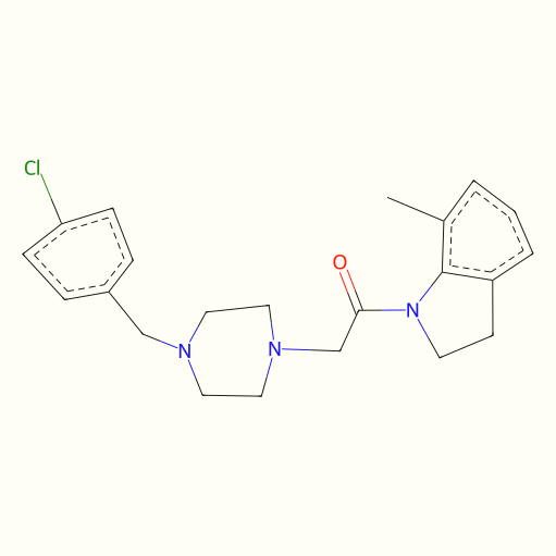 Cc1cccc2c1N(C(=O)CN1CCN(Cc3ccc(Cl)cc3)CC1)CC2